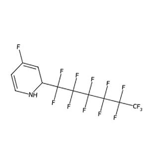 FC1=CC(C(F)(F)C(F)(F)C(F)(F)C(F)(F)C(F)(F)C(F)(F)F)NC=C1